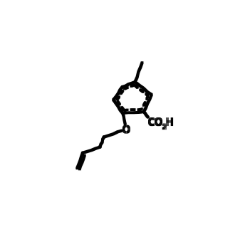 C=CCCOc1ccc(C)cc1C(=O)O